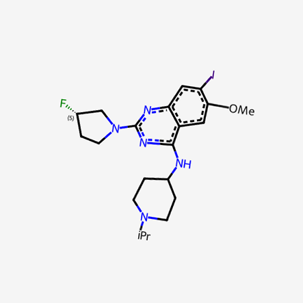 COc1cc2c(NC3CCN(C(C)C)CC3)nc(N3CC[C@H](F)C3)nc2cc1I